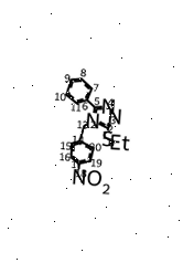 CCSc1nnc(-c2ccccc2)n1Cc1ccc([N+](=O)[O-])cc1